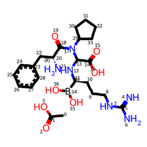 CC(=O)O.N=C(N)NCCC[C@H](NC(C(=O)O)N(C(=O)[C@H](N)Cc1ccccc1)C1CCCC1)B(O)O